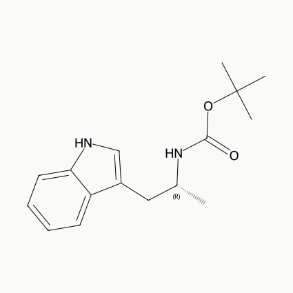 C[C@H](Cc1c[nH]c2ccccc12)NC(=O)OC(C)(C)C